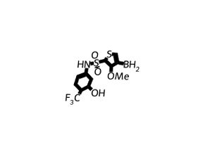 BC1=CSC(S(=O)(=O)NC2=CCC(C(F)(F)F)C(O)C2)C1OC